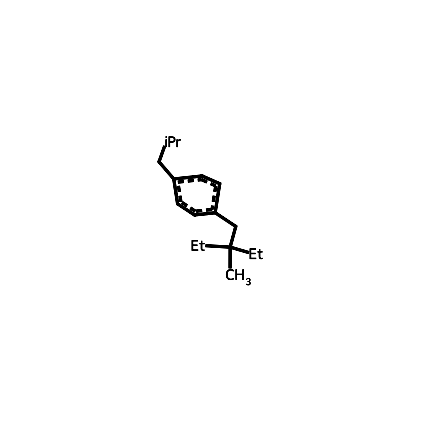 CCC(C)(CC)Cc1ccc(CC(C)C)cc1